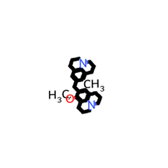 COc1c(Cc2cc3c4c(c2C)CCCN4CCC3)cc2c3c1CCCN3CCC2